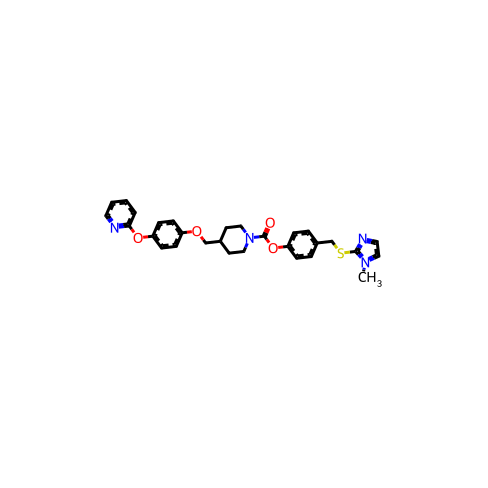 Cn1ccnc1SCc1ccc(OC(=O)N2CCC(COc3ccc(Oc4ccccn4)cc3)CC2)cc1